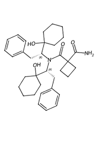 NC(=O)C1(C(=O)N([C@H](Cc2ccccc2)C2(O)CCCCC2)[C@H](Cc2ccccc2)C2(O)CCCCC2)CCC1